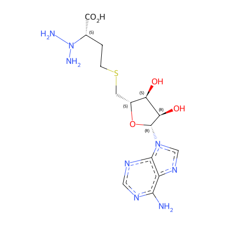 Nc1ncnc2c1ncn2[C@@H]1O[C@H](CSCC[C@@H](C(=O)O)N(N)N)[C@@H](O)[C@H]1O